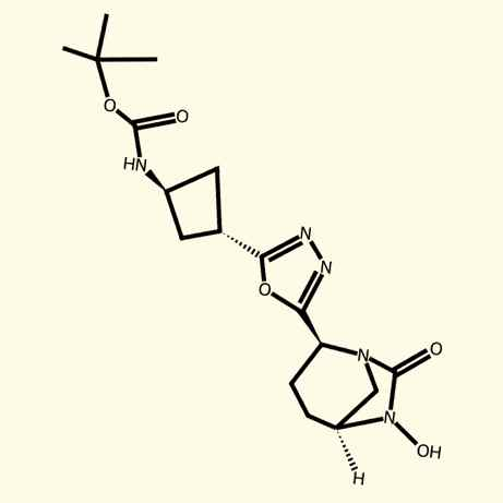 CC(C)(C)OC(=O)N[C@H]1C[C@H](c2nnc([C@@H]3CC[C@H]4CN3C(=O)N4O)o2)C1